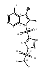 Cc1c(Br)c2c(F)cccc2n1S(=O)(=O)c1ncn(S(=O)(=O)N(C)C)n1